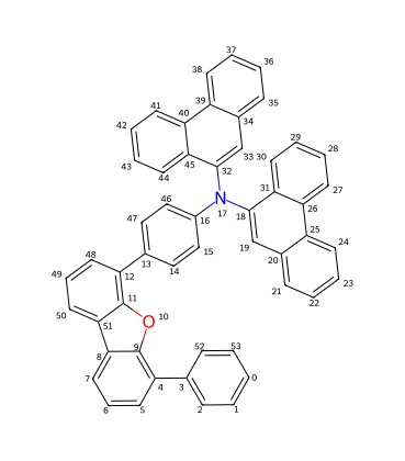 c1ccc(-c2cccc3c2oc2c(-c4ccc(N(c5cc6ccccc6c6ccccc56)c5cc6ccccc6c6ccccc56)cc4)cccc23)cc1